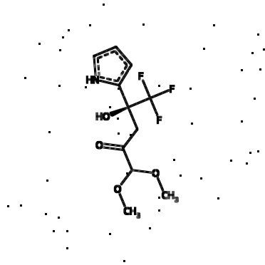 COC(OC)C(=O)C[C@](O)(c1ccc[nH]1)C(F)(F)F